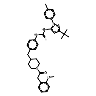 COc1ccccc1CC(=O)N1CCC(Cc2ccc(NC(=O)Nc3cc(C(C)(C)C)nn3-c3ccc(C)cc3)cc2)CC1